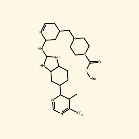 CC1C(C(F)(F)F)=NC=NC1C1CCC2NC(NC3CC(CN4CCN(C(=O)OC(C)(C)C)CC4)CC=N3)NC2C1